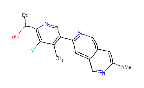 CCC(O)c1ncc(-c2cc3cnc(NC)cc3cn2)c(C)c1F